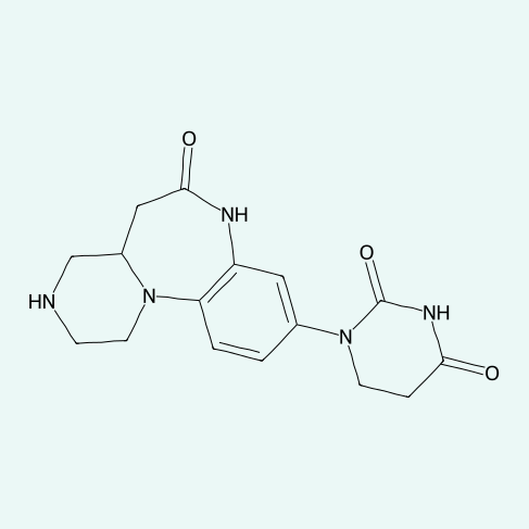 O=C1CCN(c2ccc3c(c2)NC(=O)CC2CNCCN32)C(=O)N1